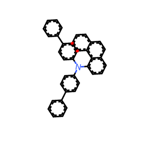 c1ccc(-c2ccc(N(c3ccc(-c4ccccc4)cc3)c3cccc4ccc5ccccc5c34)cc2)cc1